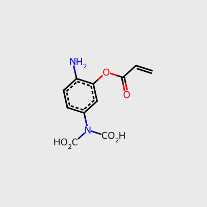 C=CC(=O)Oc1cc(N(C(=O)O)C(=O)O)ccc1N